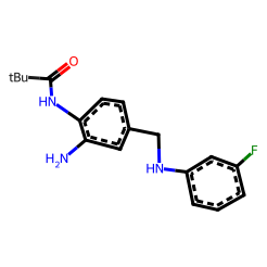 CC(C)(C)C(=O)Nc1ccc(CNc2cccc(F)c2)cc1N